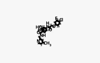 Cc1ccnc(CNC(=O)C23CCC(NC(=O)COc4ccc(Cl)c(F)c4)(CC2)C[C@@H]3O)c1